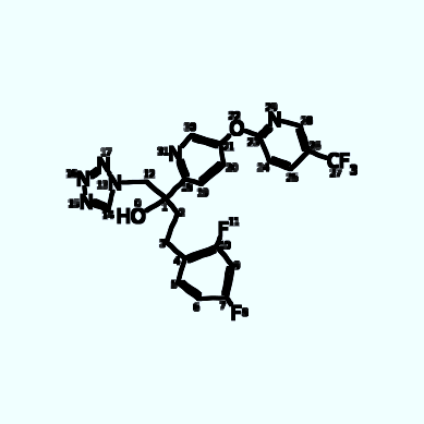 OC(CCc1ccc(F)cc1F)(Cn1cnnn1)c1ccc(Oc2ccc(C(F)(F)F)cn2)cn1